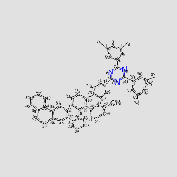 Cc1cc(C)cc(-c2nc(-c3ccc(-c4ccccc4-c4cc(C#N)ccc4-c4cccc(-c5ccc6c(ccc7ccccc76)c5)c4)cc3)nc(-c3cc(C)cc(C)c3)n2)c1